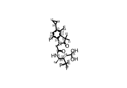 C[C@@H](NC(=O)CN1C(=O)C(C)(C)c2c(F)c(C3CC3)cc(F)c21)[C@H](CC(O)O)C(F)(F)F